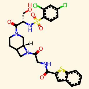 O=C(NCC(=O)N1CC2CCN(C(=O)[C@H](CO)NS(=O)(=O)c3ccc(Cl)cc3Cl)C[C@@H]21)c1cc2ccccc2s1